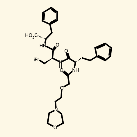 CC(C)C[C@H](NC(=O)[C@H](CCc1ccccc1)NC(=O)COCCN1CCOCC1)C(=O)N[C@@H](Cc1ccccc1)C(=O)O